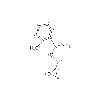 Cc1ccccc1C(C)OCC1CO1